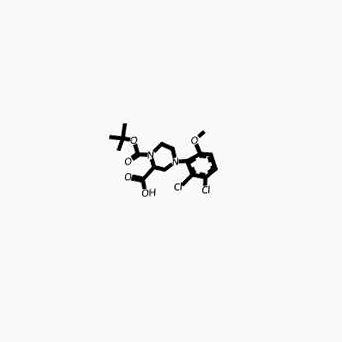 COc1ccc(Cl)c(Cl)c1N1CCN(C(=O)OC(C)(C)C)C(C(=O)O)C1